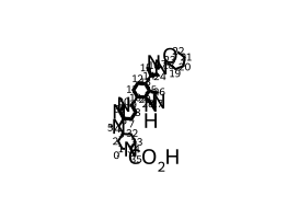 C[C@@H]1C[C@H](N(C)c2ccc(-c3ccc(-c4cnn(C5CCCCO5)c4)c4cn[nH]c34)nn2)CCN1C(=O)O